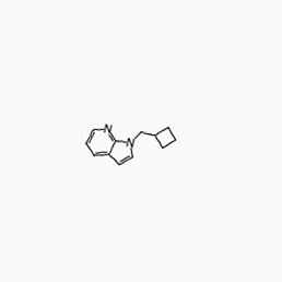 c1cnc2c(c1)ccn2CC1CCC1